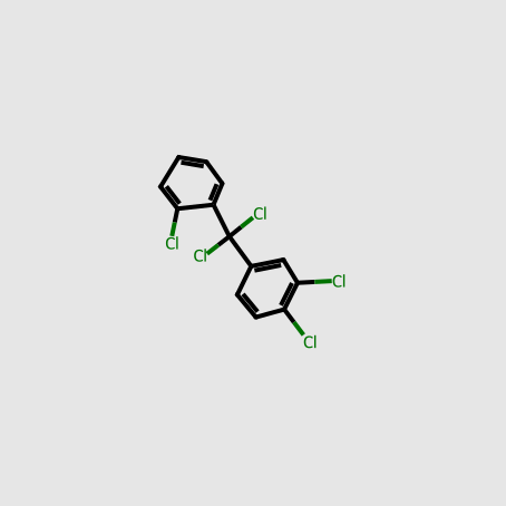 Clc1ccc(C(Cl)(Cl)c2ccccc2Cl)cc1Cl